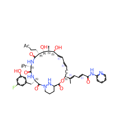 CC(=O)CC[C@H]1C(=O)N[C@@H](C(C)C)C(=O)N[C@@H](Cc2cc(O)cc(F)c2)C(=O)N2CCCC(C)(N2)C(=O)O[C@H](/C(C)=C/C=C/C(=O)Nc2ccccn2)C/C=C/C=C/[C@H](O)[C@H](C)[C@H]1O